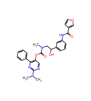 CN(CC(O)c1cccc(NC(=O)c2ccoc2)c1)C(=O)Oc1cnc(N(C)C)nc1-c1ccccc1